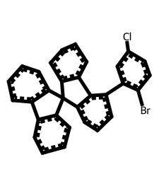 Clc1ccc(Br)c(-c2cccc3c2-c2ccccc2C32c3ccccc3-c3ccccc32)c1